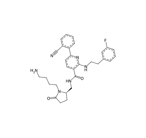 N#Cc1ccccc1-c1ccc(C(=O)NC[C@H]2CCC(=O)N2CCCCN)c(NCCc2cccc(F)c2)n1